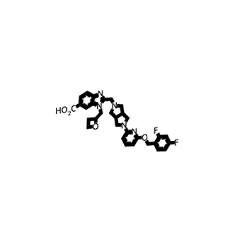 O=C(O)c1ccc2nc(CN3CC4CN(c5cccc(OCc6ccc(F)cc6F)n5)CC4C3)n(CC3CCO3)c2c1